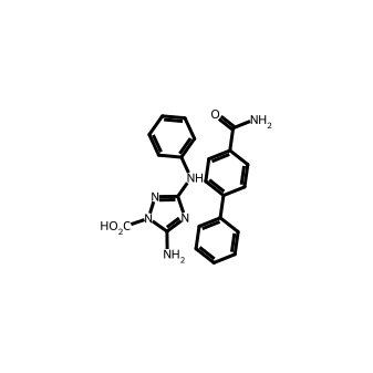 NC(=O)c1ccc(-c2ccccc2)cc1.Nc1nc(Nc2ccccc2)nn1C(=O)O